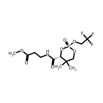 COC(=O)CCNC(=O)[C@@H]1O[P@@](=O)(OCC(F)(F)F)OCC1(C)C